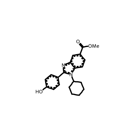 COC(=O)c1ccc2c(c1)nc(-c1ccc(O)cc1)n2C1CCCCC1